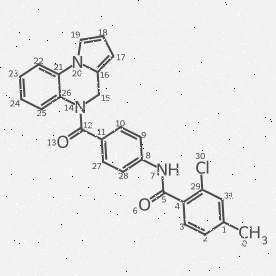 Cc1ccc(C(=O)Nc2ccc(C(=O)N3Cc4cccn4-c4ccccc43)cc2)c(Cl)c1